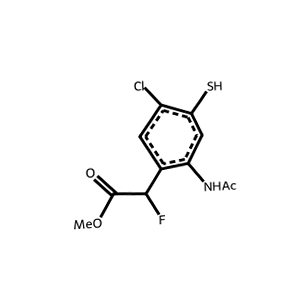 COC(=O)C(F)c1cc(Cl)c(S)cc1NC(C)=O